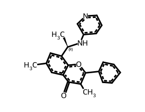 Cc1cc([C@@H](C)Nc2cccnc2)c2oc(-c3ccccc3)c(C)c(=O)c2c1